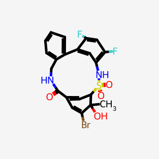 CC1(O)C(Br)=CC2=CC1S(=O)(=O)Nc1cc(c(F)cc1F)-c1ccccc1CNC2=O